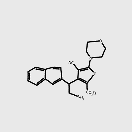 CCOC(=O)c1sc(N2CCOCC2)c(C#N)c1C(CN)c1ccc2ccccc2c1